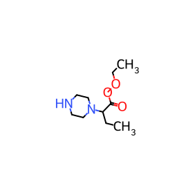 CCOOC(=O)C(CC)N1CCNCC1